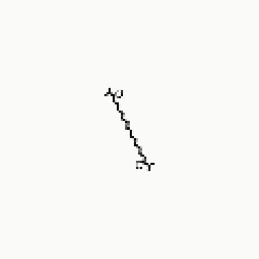 CC(C)C(=O)CCCCCCCCCCCCCCC(=O)C(C)C